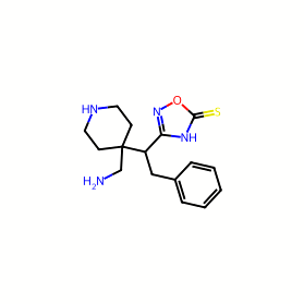 NCC1(C(Cc2ccccc2)c2noc(=S)[nH]2)CCNCC1